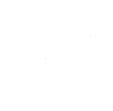 COCC(F)(F)C(F)(F)C(F)(F)C(F)(F)C(F)(F)C(F)(F)C(F)(F)C(F)(F)COCC1CO1